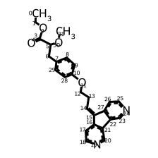 CCOC(=O)C(Cc1ccc(OCCC=C2c3ccncc3-c3cnccc32)cc1)OC